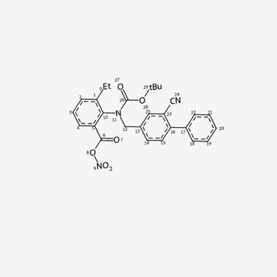 CCc1cccc(C(=O)O[N+](=O)[O-])c1N(Cc1ccc(-c2ccccc2)c(C#N)c1)C(=O)OC(C)(C)C